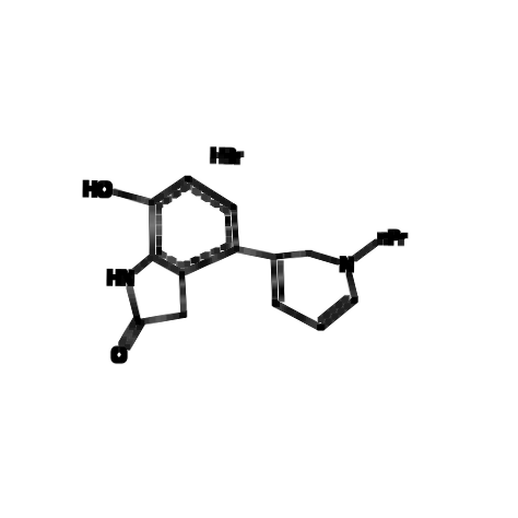 Br.CCCN1C=CC=C(c2ccc(O)c3c2CC(=O)N3)C1